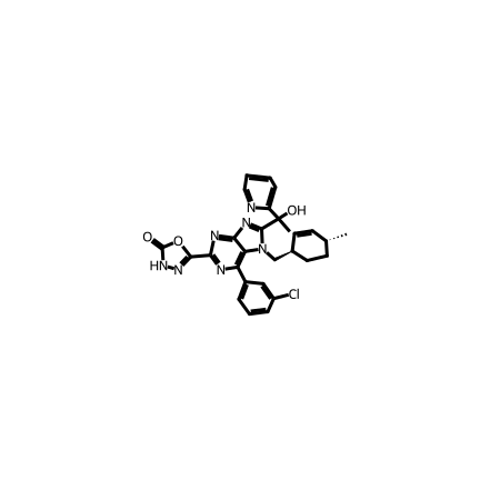 C[C@H]1C=C[C@H](Cn2c(C(C)(O)c3ccccn3)nc3nc(-c4n[nH]c(=O)o4)nc(-c4cccc(Cl)c4)c32)CC1